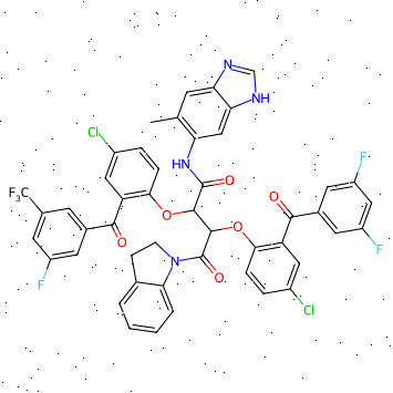 Cc1cc2nc[nH]c2cc1NC(=O)C(Oc1ccc(Cl)cc1C(=O)c1cc(F)cc(C(F)(F)F)c1)C(Oc1ccc(Cl)cc1C(=O)c1cc(F)cc(F)c1)C(=O)N1CCc2ccccc21